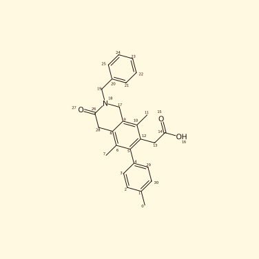 Cc1ccc(-c2c(C)c3c(c(C)c2CC(=O)O)CN(Cc2ccccc2)C(=O)C3)cc1